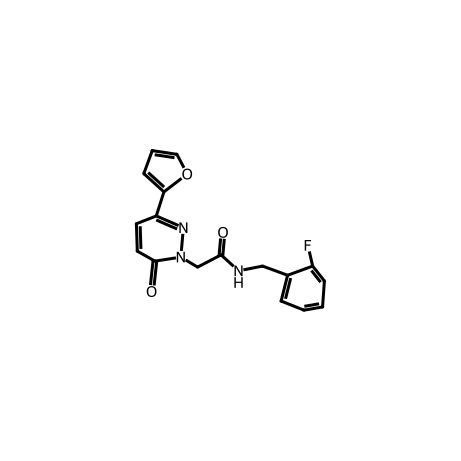 O=C(Cn1nc(-c2ccco2)ccc1=O)NCc1ccccc1F